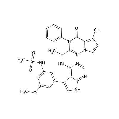 COc1cc(NS(C)(=O)=O)cc(-c2c[nH]c3ncnc(NC(C)c4nn5ccc(C)c5c(=O)n4-c4ccccc4)c23)c1